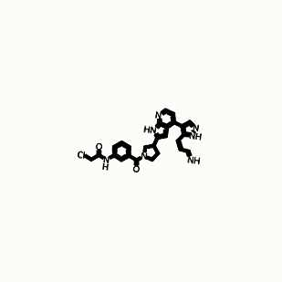 N=C/C=C\c1[nH]ncc1-c1ccnc2[nH]c(C3CCN(C(=O)c4cccc(NC(=O)CCl)c4)C3)cc12